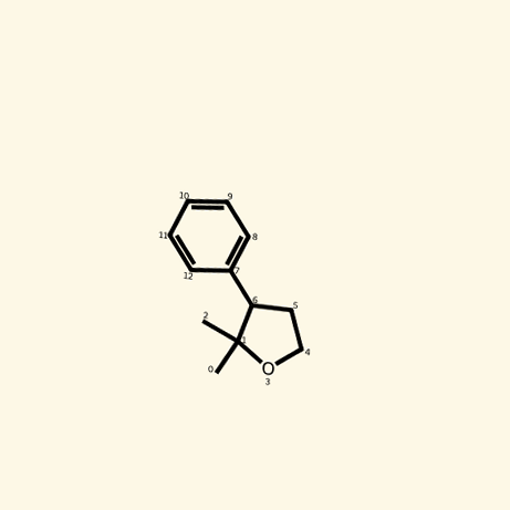 CC1(C)OCCC1c1ccccc1